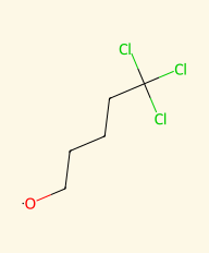 [O]CCCCC(Cl)(Cl)Cl